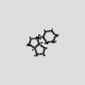 c1cnnnc1.c1nc2sccc2[nH]1